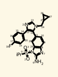 CC(C)S(=O)(=O)n1c(N)nc2ccc(-c3c(-c4ccc(F)cc4)ncn3CC3CC3)cc21